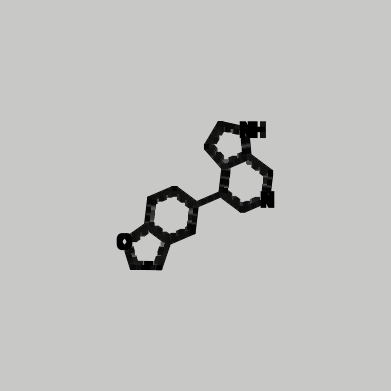 c1cc2c(-c3ccc4occc4c3)cncc2[nH]1